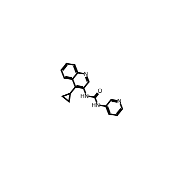 O=C(Nc1cccnc1)Nc1cnc2ccccc2c1C1CC1